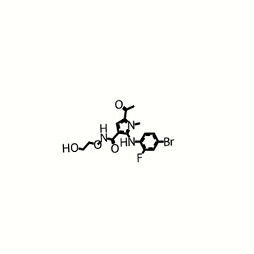 CC(=O)c1cc(C(=O)NOCCO)c(Nc2ccc(Br)cc2F)n1C